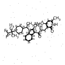 COc1cc(C)[nH]c(=O)c1CNC(=O)c1c(C)n([C@H](C)C2CCN(C(C)(C)C(F)F)CC2)c2ccccc12